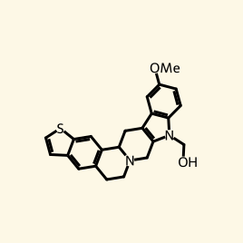 COc1ccc2c(c1)c1c(n2CO)CN2CCc3cc4ccsc4cc3C2C1